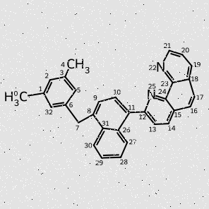 Cc1cc(C)cc(Cc2ccc(-c3ccc4ccc5cccnc5c4n3)c3ccccc23)c1